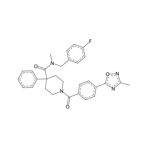 Cc1noc(-c2ccc(C(=O)N3CCC(C(=O)N(C)Cc4ccc(F)cc4)(c4ccccc4)CC3)cc2)n1